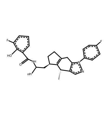 CCCC(C[C@H]1CCC2=C1[C@@H](C)c1cnn(-c3ccc(F)cc3)c1C2)NC(=O)c1cccc(F)c1O